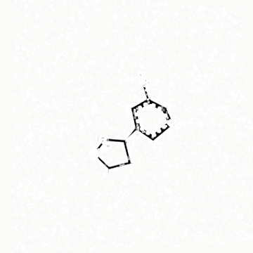 N#Cc1cncc([C@H]2CCON2)c1